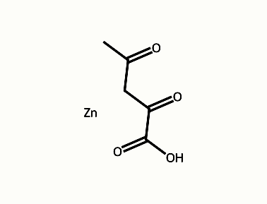 CC(=O)CC(=O)C(=O)O.[Zn]